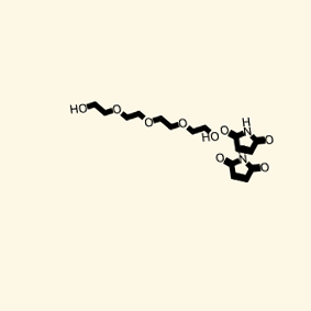 O=C1C=CC(=O)N1.O=C1C=CC(=O)N1.OCCOCCOCCOCCO